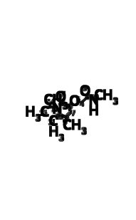 CNC(=O)COc1cc(C)c(C)n(C(C)C)c1=O